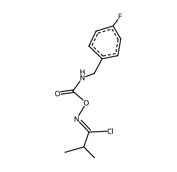 CC(C)/C(Cl)=N/OC(=O)NCc1ccc(F)cc1